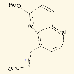 COc1ccc2nccc(/C=C/C=O)c2n1